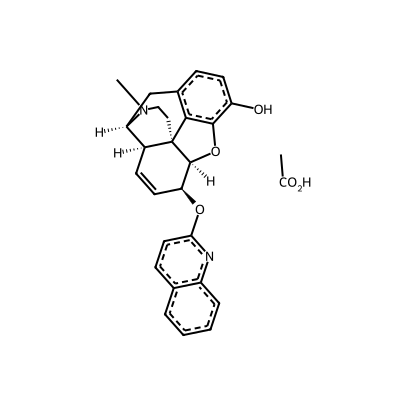 CC(=O)O.CN1CC[C@]23c4c5ccc(O)c4O[C@H]2[C@@H](Oc2ccc4ccccc4n2)C=C[C@H]3[C@H]1C5